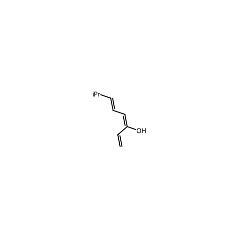 C=C/C(O)=C\C=C\C(C)C